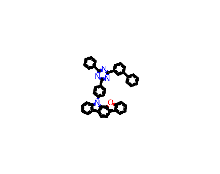 c1ccc(-c2cccc(-c3nc(-c4ccccc4)nc(-c4ccc(-n5c6ccccc6c6ccc7c8ccccc8oc7c65)cc4)n3)c2)cc1